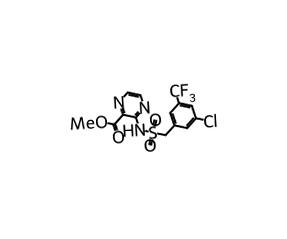 COC(=O)c1nccnc1NS(=O)(=O)Cc1cc(Cl)cc(C(F)(F)F)c1